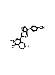 Cn1cc(-c2cnc3c(-c4ccc(C#N)cc4)cnn3c2)c2c(c1=O)CCNC2